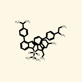 CCC1=Cc2c(-c3ccc(C(C)CC)cc3)cccc2[CH]1[Zr]([Cl])([Cl])([CH]1C(C2CCC(C)CC2)=Cc2c(-c3ccc(C(C)C)cc3)cccc21)[SiH](C)C